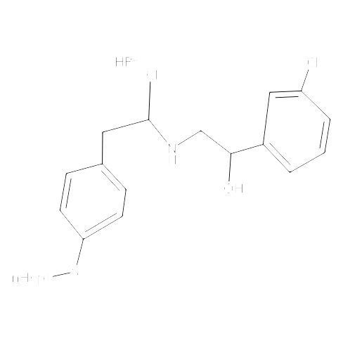 Br.CCCCCCCSc1ccc(CC(C)NCC(O)c2cccc(Cl)c2)cc1